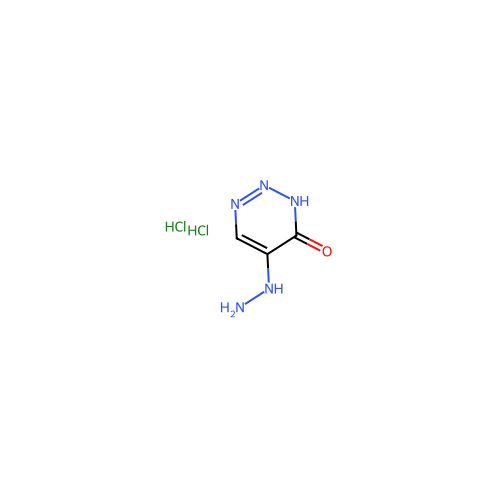 Cl.Cl.NNc1cnn[nH]c1=O